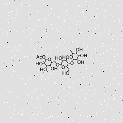 CC(=O)OC1OC(COC2OC(CO)C(OC3OC(C)C(O)C(O)C3O)C(O)C2O)C(O)C(O)C1O